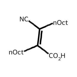 CCCCCCCCC(C#N)=C(CCCCCCCC)C(=O)O